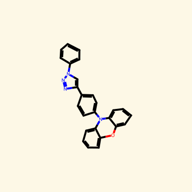 c1ccc(-n2cc(-c3ccc(N4c5ccccc5Oc5ccccc54)cc3)nn2)cc1